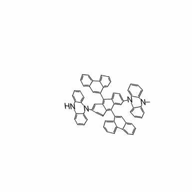 CN1c2ccccc2N(c2ccc3c(-c4cc5ccccc5c5ccccc45)c4cc(N5c6ccccc6Nc6ccccc65)ccc4c(-c4cc5ccccc5c5ccccc45)c3c2)c2ccccc21